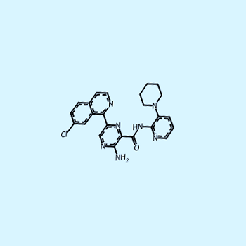 Nc1ncc(-c2nccc3ccc(Cl)cc23)nc1C(=O)Nc1ncccc1N1CCCCC1